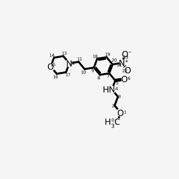 COCCNC(=O)c1cc(CCN2CCOCC2)ccc1[N+](=O)[O-]